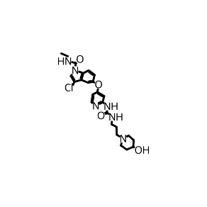 CCNC(=O)n1cc(Cl)c2cc(Oc3ccnc(NC(=O)NCCCN4CCC(O)CC4)c3)ccc21